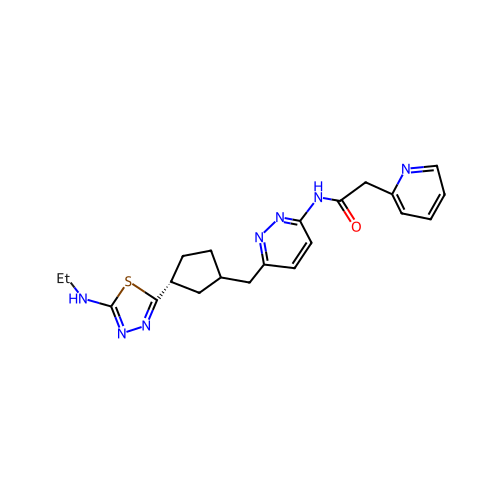 CCNc1nnc([C@@H]2CCC(Cc3ccc(NC(=O)Cc4ccccn4)nn3)C2)s1